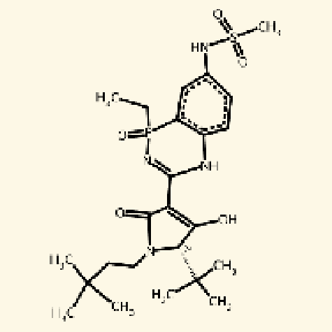 CCP1(=O)N=C(C2=C(O)[C@H](C(C)(C)C)N(CCC(C)(C)C)C2=O)Nc2ccc(NS(C)(=O)=O)cc21